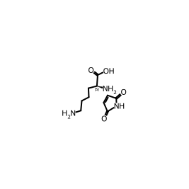 NCCCC[C@H](N)C(=O)O.O=C1C=CC(=O)N1